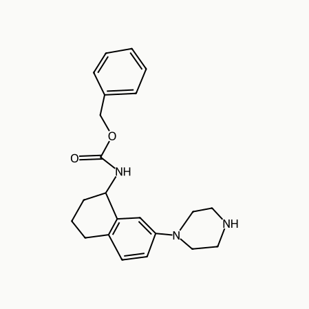 O=C(NC1CCCc2ccc(N3CCNCC3)cc21)OCc1ccccc1